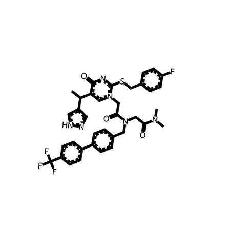 CC(c1cn[nH]c1)c1cn(CC(=O)N(CC(=O)N(C)C)Cc2ccc(-c3ccc(C(F)(F)F)cc3)cc2)c(SCc2ccc(F)cc2)nc1=O